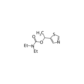 CCN(CC)C(=O)OC(C)c1cncs1